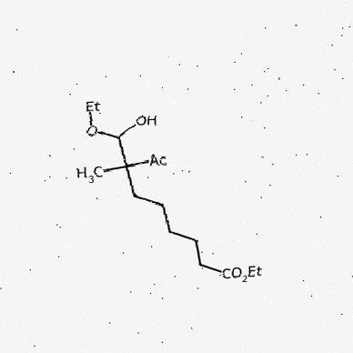 CCOC(=O)CCCCCC(C)(C(C)=O)C(O)OCC